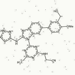 COc1ccc(-c2ccc3nc(Nc4cc[nH]n4)n(-c4nc(C)nc(NCC#N)n4)c3c2)cc1CO